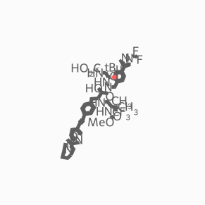 COC(=O)NC(C(=O)NC(Cc1ccc(C#Cc2ccc(N3CC4CCC(C3)N4C3COC3)nc2)cc1)C(O)CN(Cc1ccc(-c2cnn(C(F)F)c2)cc1)NC(=O)C(NC(=O)O)C(C)(C)C)C(C)(C)C(F)(F)F